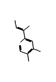 C/C=C(\C)c1cc(C)c(C)cn1